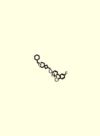 Fc1ccc(Cl)c(-c2ccc(OCC3CC4(CCN(CC5CCCCC5)CC4)C3)nn2)c1